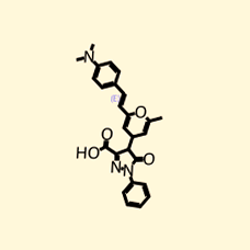 CC1=CC(C2C(=O)N(c3ccccc3)N=C2C(=O)O)C=C(/C=C/c2ccc(N(C)C)cc2)O1